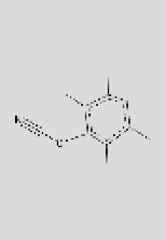 Cc1cc(C)c(C)c(OC#N)c1C